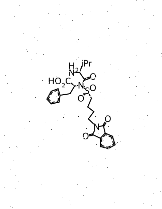 CC(C)[C@H](N)C(=O)N([C@@H](Cc1ccccc1)C(=O)O)S(=O)(=O)CCCCN1C(=O)c2ccccc2C1=O